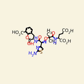 CC(C)(O/N=C(\C(=O)N[C@H]1Cc2cccc(C(=O)O)c2OB1O)c1csc(N)n1)C(=O)NC(CCC(=O)O)C(=O)O